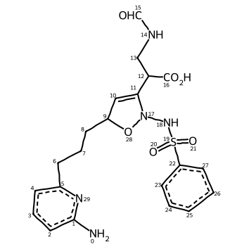 Nc1cccc(CCCC2C=C(C(CNC=O)C(=O)O)N(NS(=O)(=O)c3ccccc3)O2)n1